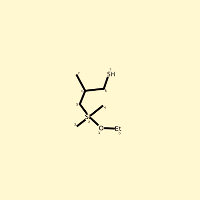 CCO[Si](C)(C)CC(C)CS